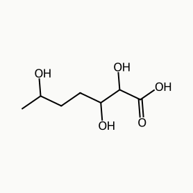 CC(O)CCC(O)C(O)C(=O)O